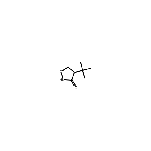 CC(C)(C)C1CONC1=O